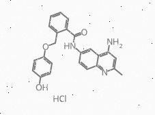 Cc1cc(N)c2cc(NC(=O)c3ccccc3COc3ccc(O)cc3)ccc2n1.Cl